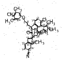 Cc1cc(OCCCc2c3n(c4c(-c5c(C)nn(C)c5C)c(Cl)ccc24)[C@H](C)CN(c2cc4ccc(C#N)cc4n2C)C3=O)cc(C)c1Cl